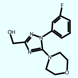 OCc1nc(N2CCOCC2)n(-c2cccc(F)c2)n1